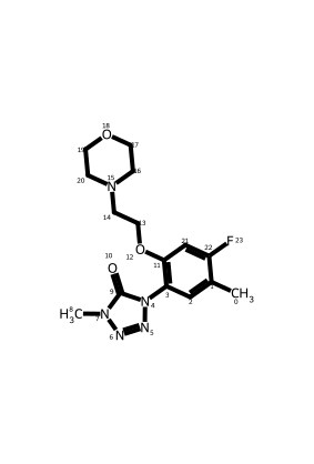 Cc1cc(-n2nnn(C)c2=O)c(OCCN2CCOCC2)cc1F